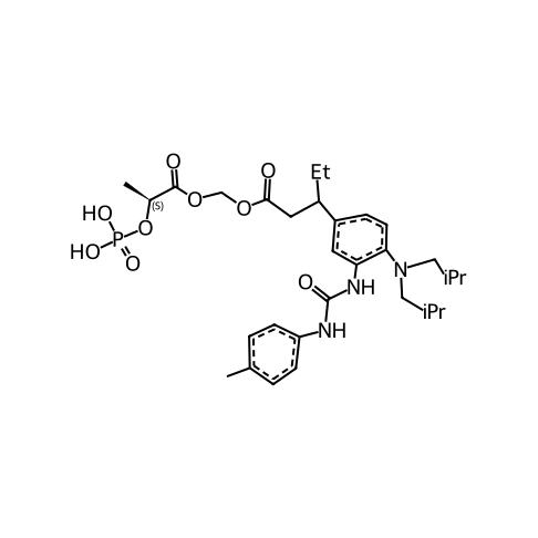 CCC(CC(=O)OCOC(=O)[C@H](C)OP(=O)(O)O)c1ccc(N(CC(C)C)CC(C)C)c(NC(=O)Nc2ccc(C)cc2)c1